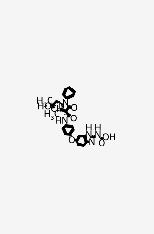 Cc1c(C(=O)Nc2ccc(Oc3ccc4nc(NC(=O)O)[nH]c4c3)cc2)c(=O)n(-c2ccccc2)n1CC(C)(C)O